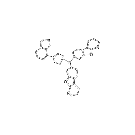 c1ccc2c(-c3ccc(N(c4ccc5c(c4)oc4ncccc45)c4ccc5c(c4)oc4ncccc45)cc3)cccc2c1